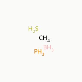 B.C.P.S